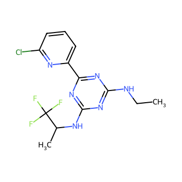 CCNc1nc(NC(C)C(F)(F)F)nc(-c2cccc(Cl)n2)n1